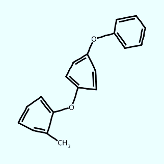 Cc1ccccc1Oc1ccc(Oc2ccccc2)cc1